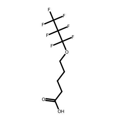 O=C(O)CCCCOC(F)(F)C(F)(F)C(F)(F)F